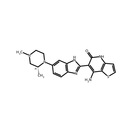 C[C@@H]1CN(C)CCN1c1ccc2nc(-c3c(N)c4sccc4[nH]c3=O)[nH]c2c1